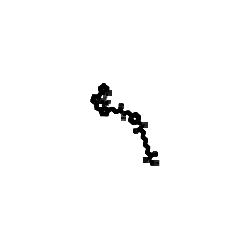 O=C(CCCCCCC(=O)Nc1ccc(CNC(=O)CCc2ccc3n2[B-](F)(F)[N+]2=C(c4ccc[nH]4)C=CC2=C3)cc1)NO